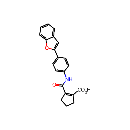 O=C(O)C1=C(C(=O)Nc2ccc(-c3cc4ccccc4o3)cc2)CCC1